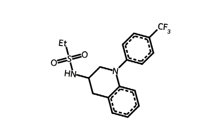 CCS(=O)(=O)NC1Cc2ccccc2N(c2ccc(C(F)(F)F)cc2)C1